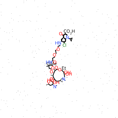 CC[C@H]1OC(=O)[C@H](C)[C@@H](O[C@H]2C[C@@](C)(OC)[C@H](NC(=O)CCOCCOCCNc3cc4c(=O)c(C(=O)O)cn(C5CC5)c4cc3Cl)[C@H](C)O2)[C@H](C)[C@@H](O[C@@H]2O[C@H](C)C[C@H](N(C)C)[C@H]2O)[C@](C)(O)C[C@@H](C)CN(C)[C@@H](C)[C@@H](O)[C@]1(C)O